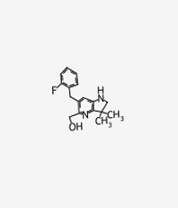 CC1(C)CNc2cc(Cc3ccccc3F)c(CO)nc21